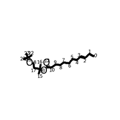 CC/C=C/CCCCCCCC(=O)OC(C)(C)CCOC(C)(C)C